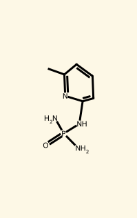 Cc1cccc(NP(N)(N)=O)n1